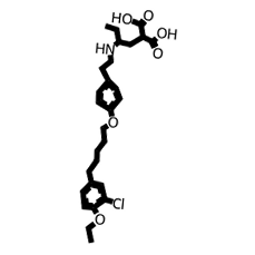 CCOc1ccc(CCCCCOc2ccc(CCNC(CC)CC(C(=O)O)C(=O)O)cc2)cc1Cl